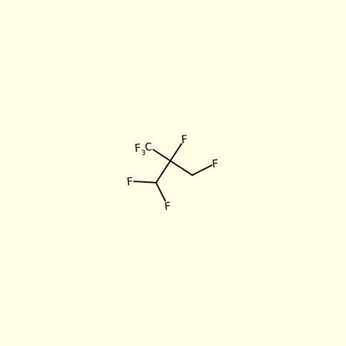 FCC(F)(C(F)F)C(F)(F)F